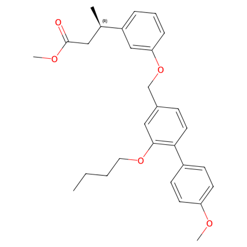 CCCCOc1cc(COc2cccc([C@H](C)CC(=O)OC)c2)ccc1-c1ccc(OC)cc1